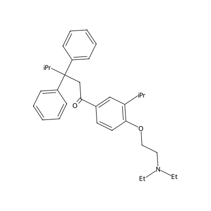 CCN(CC)CCOc1ccc(C(=O)CC(c2ccccc2)(c2ccccc2)C(C)C)cc1C(C)C